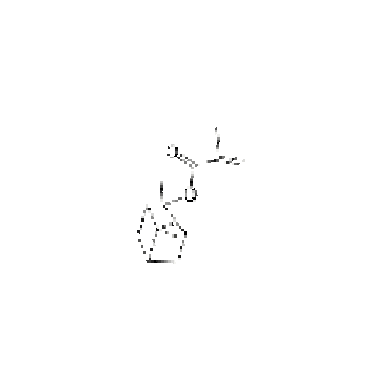 C=C(C)C(=O)OC1(C)CCC2CC1C2(C)C